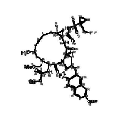 COC[C@@H]1C[C@@H](C)CCCC[C@@H]2C[C@@]2(C(=O)NS(=O)(=O)C2(CF)CC2)NC(=O)[C@@H]2C[C@@H](Oc3nc4cc(OC)ccc4nc3C(F)(F)F)CN2C(=O)[C@H]1NC(=O)OC(C)(C)C